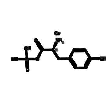 N[C@@H](Cc1ccc(O)cc1)C(=O)OP(=O)(O)O.[Cu]